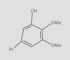 COc1cc(C(C)=O)cc(O)c1OC